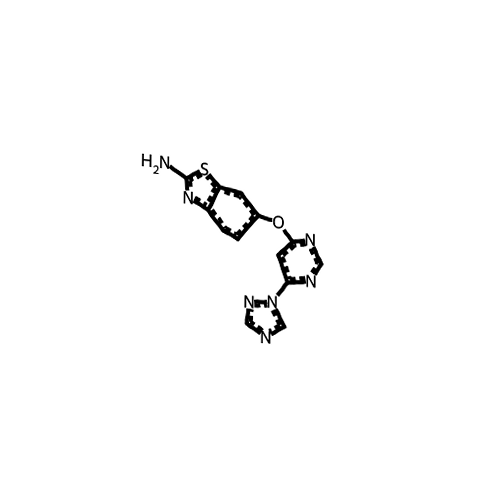 Nc1nc2ccc(Oc3cc(-n4cncn4)ncn3)cc2s1